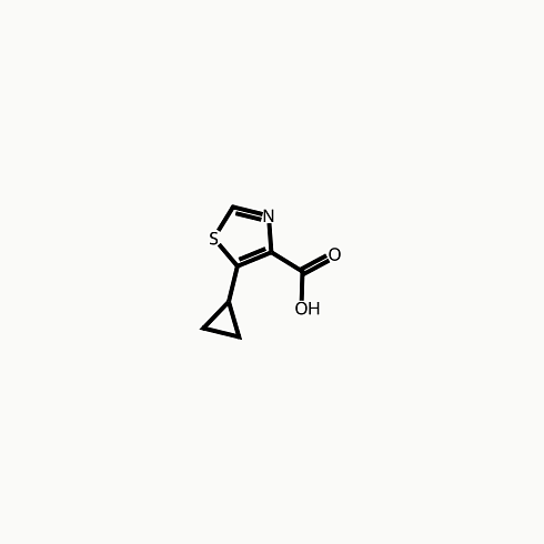 O=C(O)c1ncsc1C1CC1